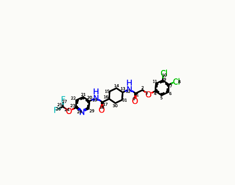 O=C(COc1ccc(Cl)c(Cl)c1)NC1CCC(C(=O)Nc2ccc(OC(F)F)nc2)CC1